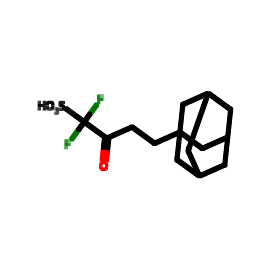 O=C(CCC12CC3CC(CC(C3)C1)C2)C(F)(F)S(=O)(=O)O